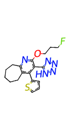 FCCCOc1nc2c(c(-c3cccs3)c1-c1nnn[nH]1)CCCCC2